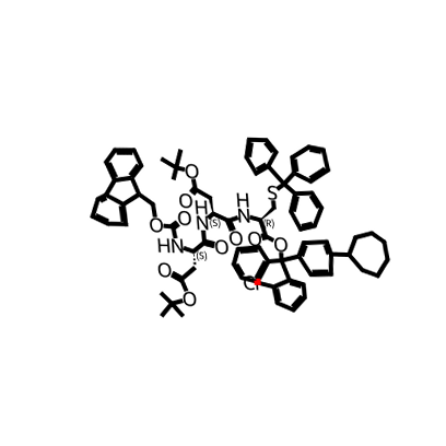 CC(C)(C)OC(=O)C[C@H](NC(=O)OCC1c2ccccc2-c2ccccc21)C(=O)N[C@@H](CC(=O)OC(C)(C)C)C(=O)N[C@@H](CSC(c1ccccc1)(c1ccccc1)c1ccccc1)C(=O)OC(c1ccccc1)(c1ccc(C2CCCCCC2)cc1)c1ccccc1Cl